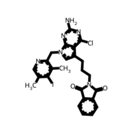 Cc1cnc(Cn2cc(CCCN3C(=O)c4ccccc4C3=O)c3c(Cl)nc(N)nc32)c(C)c1I